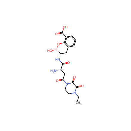 CCN1CCN(C(=O)C[C@H](N)C(=O)N[C@H]2Cc3cccc(C(=O)O)c3OB2O)C(=O)C1=O